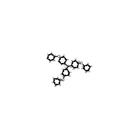 c1ccc(Oc2ccc([C](c3ccc(Oc4ccccc4)cc3)c3ccc(Oc4ccccc4)cc3)cc2)cc1